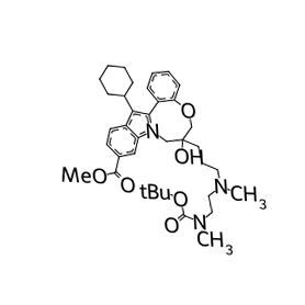 COC(=O)c1ccc2c(C3CCCCC3)c3n(c2c1)CC(O)(CCCN(C)CCN(C)C(=O)OC(C)(C)C)COc1ccccc1-3